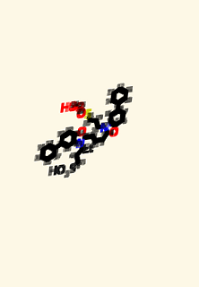 CCC(=Cc1oc2ccc(-c3ccccc3)cc2[n+]1CCCSOOO)C=C1Oc2ccc(-c3ccccc3)cc2N1CCCS(=O)(=O)O